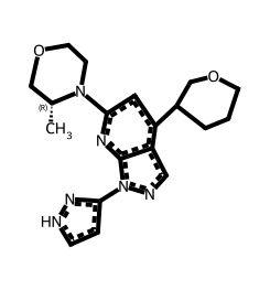 C[C@@H]1COCCN1c1cc(C2CCCOC2)c2cnn(-c3cc[nH]n3)c2n1